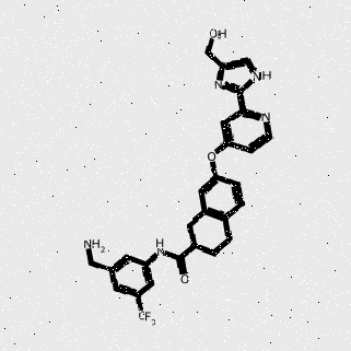 NCc1cc(NC(=O)C2CCc3ccc(Oc4ccnc(-c5nc(CO)c[nH]5)c4)cc3C2)cc(C(F)(F)F)c1